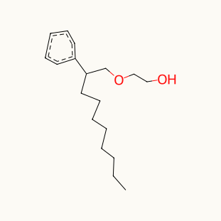 CCCCCCCCC(COCCO)c1ccccc1